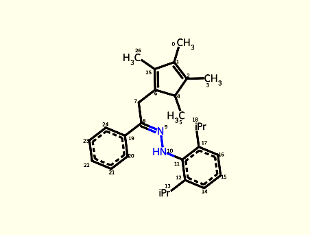 CC1=C(C)C(C)C(CC(=NNc2c(C(C)C)cccc2C(C)C)c2ccccc2)=C1C